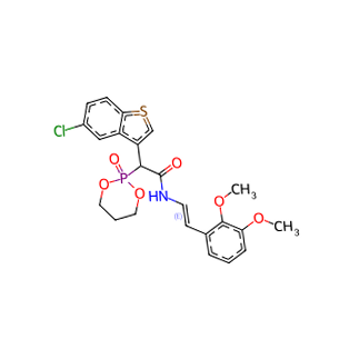 COc1cccc(/C=C/NC(=O)C(c2csc3ccc(Cl)cc23)P2(=O)OCCCO2)c1OC